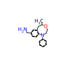 CC1Cc2cc(CN)ccc2N(c2ccccc2)CCO1